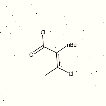 CCCCC(C(=O)Cl)=C(C)Cl